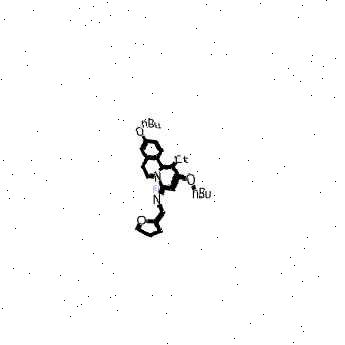 CCCCOc1ccc2c(c1)CCn1c-2c(CC)c(OCCCC)c/c1=N\CC1CCCO1